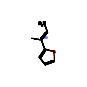 C/C(=C\[N+](=O)[O-])c1cccs1